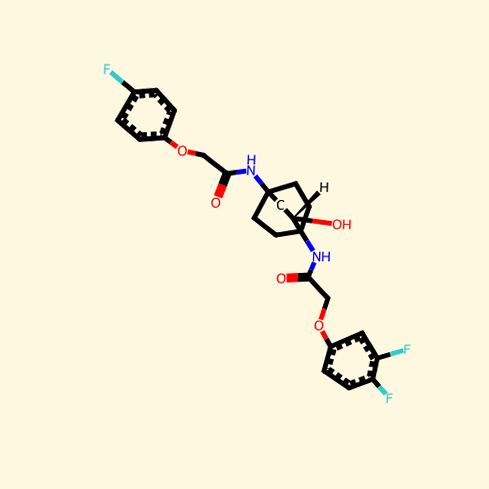 O=C(COc1ccc(F)cc1)NC12CCC(NC(=O)COc3ccc(F)c(F)c3)(CC1)[C@@H](O)C2